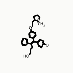 CN1CCCC1CCOc1ccc(/C(=C(/CCCO)c2ccccc2)c2ccc(O)cc2)cc1